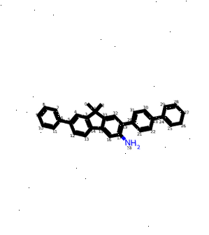 CC1(C)c2cc(-c3ccccc3)ccc2-c2cc(N)c(-c3ccc(C4=CCCC=C4)cc3)cc21